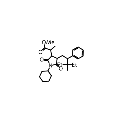 CCC(C)(CC)C(CC1C(=O)N(C2CCCCC2)C(=O)C1C(C)C(=O)OC)c1ccccc1